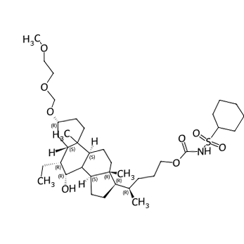 CC[C@H]1[C@@H](O)C2[C@H](CC[C@]3(C)[C@@H]([C@H](C)CCCOC(=O)NS(=O)(=O)C4CCCCC4)CC[C@@H]23)C2(C)CC[C@@H](OCOCCOC)C[C@@H]12